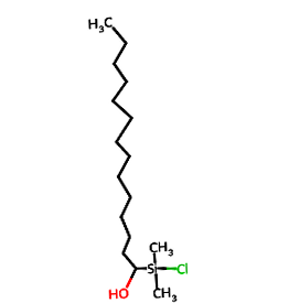 CCCCCCCCCCCCCC(O)[Si](C)(C)Cl